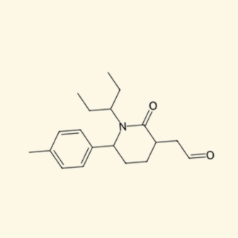 CCC(CC)N1C(=O)C(CC=O)CCC1c1ccc(C)cc1